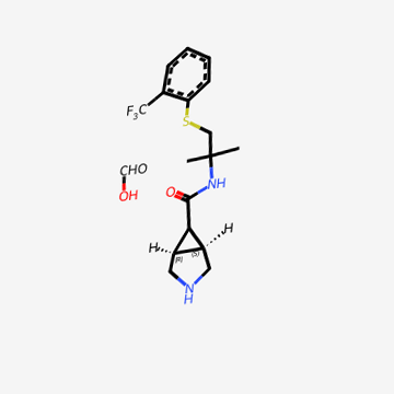 CC(C)(CSc1ccccc1C(F)(F)F)NC(=O)C1[C@H]2CNC[C@@H]12.O=CO